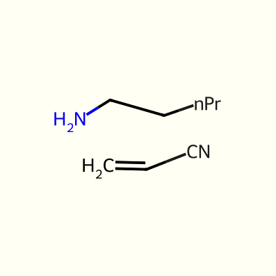 C=CC#N.CCCCCN